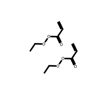 C=CC(=O)OOCC.C=CC(=O)OOCC